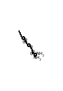 CCCCCCc1ccc(OC(=O)/C=C/c2ccc(OCCCOC(=O)c3cc(N)cc(N)c3)cc2)cc1